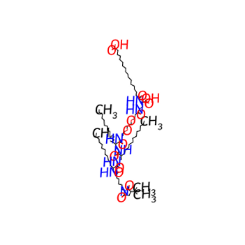 CCCCCCCCCCCCC(CNC(=O)C(CCCCCCCCCCCC)CNC(=O)C(CCCCCCCCCCCC)NC(=O)CCCCCN1C(=O)CC(C(C)C)C1=O)C(=O)NCCOCCOCCC(=O)NCC(NC(=O)CCCCCCCCCCCCCCCCC(=O)O)C(=O)O